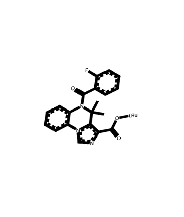 CC(C)(C)OC(=O)c1ncn2c1C(C)(C)N(C(=O)c1ccccc1F)c1ccccc1-2